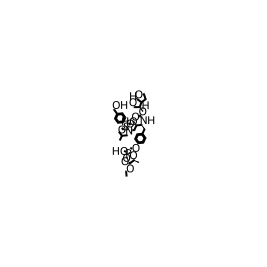 CCOC(=O)[C@H](C)OP(=O)(O)COc1ccc(C[C@H](NC(=O)O[C@H]2CO[C@H]3OCC[C@H]32)[C@H](O)CN(CC(C)C)S(=O)(=O)c2ccc(CO)cc2)cc1